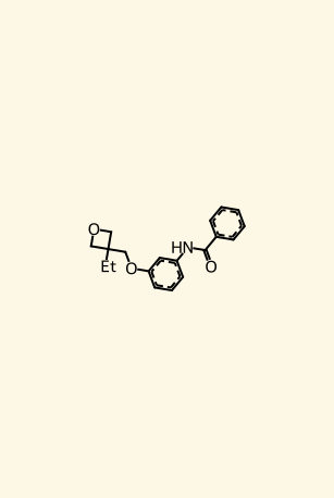 CCC1(COc2cccc(NC(=O)c3ccccc3)c2)COC1